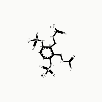 CC(=O)OCc1c(OS(C)(=O)=O)ccc(OS(C)(=O)=O)c1COC(C)=O